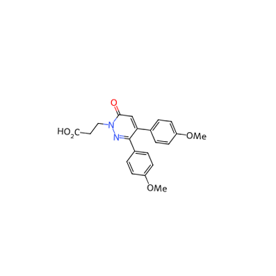 COc1ccc(-c2cc(=O)n(CCC(=O)O)nc2-c2ccc(OC)cc2)cc1